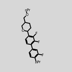 CCCOCC1CCC(c2ccc(-c3ccc(CCC)c(F)c3)c(F)c2F)OC1